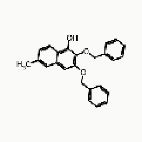 Cc1ccc2c(O)c(OCc3ccccc3)c(OCc3ccccc3)cc2c1